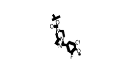 COc1c(F)cc(-c2ncc3n2CCN(C(=O)OC(C)(C)C)C3)cc1Cl